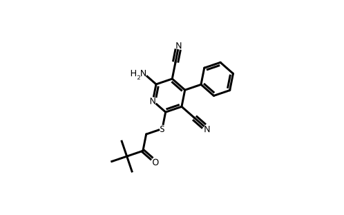 CC(C)(C)C(=O)CSc1nc(N)c(C#N)c(-c2ccccc2)c1C#N